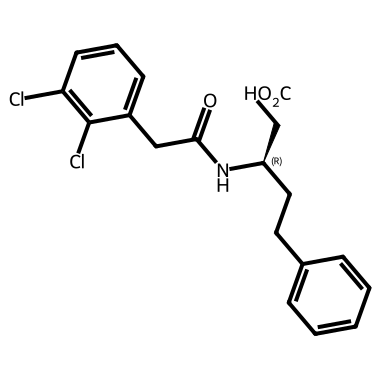 O=C(O)C[C@@H](CCc1ccccc1)NC(=O)Cc1cccc(Cl)c1Cl